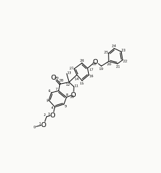 COCOc1ccc2c(c1)OCC(C)(c1ccc(OCc3ccccc3)cc1)C2=O